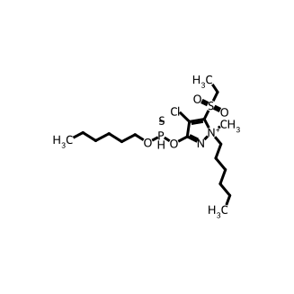 CCCCCCO[PH](=S)OC1=N[N+](C)(CCCCCC)C(S(=O)(=O)CC)=C1Cl